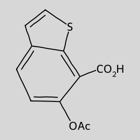 CC(=O)Oc1ccc2ccsc2c1C(=O)O